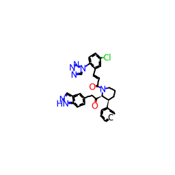 O=C(Cc1ccc2[nH]ncc2c1)[C@@H]1[C@H](c2ccccc2)CCCN1C(=O)/C=C/c1cc(Cl)ccc1-n1cnnn1